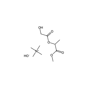 COC(=O)C(C)OC(=O)CO.C[N+](C)(C)C.[OH-]